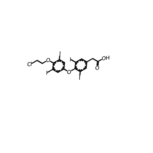 O=C(O)Cc1cc(I)c(Oc2cc(I)c(OCCCl)c(I)c2)c(I)c1